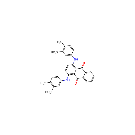 Cc1ccc(Nc2ccc(Nc3ccc(C)c(S(=O)(=O)O)c3)c3c2C(=O)c2ccccc2C3=O)cc1S(=O)(=O)O